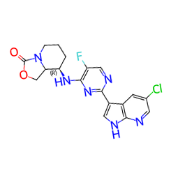 O=C1OCC2[C@H](Nc3nc(-c4c[nH]c5ncc(Cl)cc45)ncc3F)CCCN12